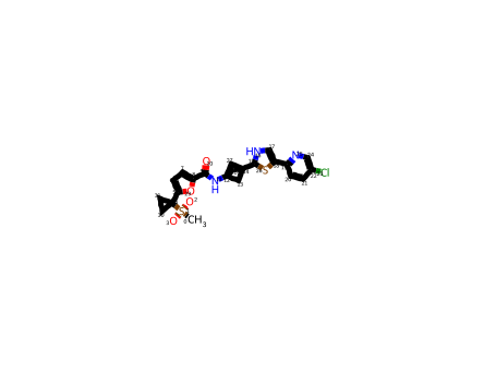 CS(=O)(=O)C1(c2ccc(C(=O)NC34CC(C5NC=C(c6ccc(Cl)cn6)S5)(C3)C4)o2)CC1